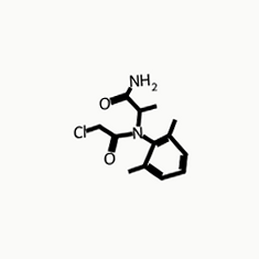 Cc1cccc(C)c1N(C(=O)CCl)C(C)C(N)=O